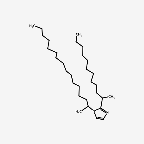 CCCCCCCCCCCCCCC(C)n1ccnc1C(C)CCCCCCCCCC